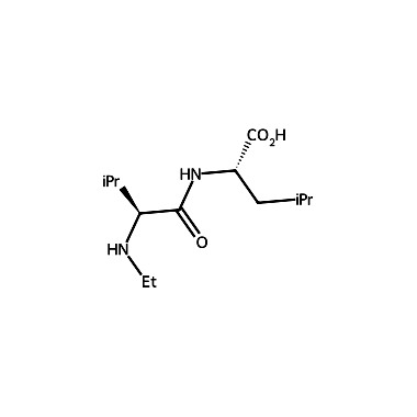 CCN[C@H](C(=O)N[C@@H](CC(C)C)C(=O)O)C(C)C